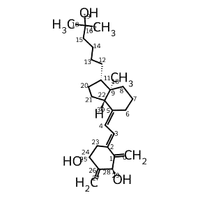 C=C1/C(=C/C=C2\CCC[C@]3(C)[C@@H](CCCCC(C)(C)O)CC[C@@H]23)C[C@@H](O)C(=C)[C@@H]1O